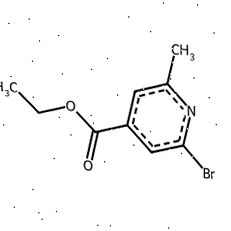 CCOC(=O)c1cc(C)nc(Br)c1